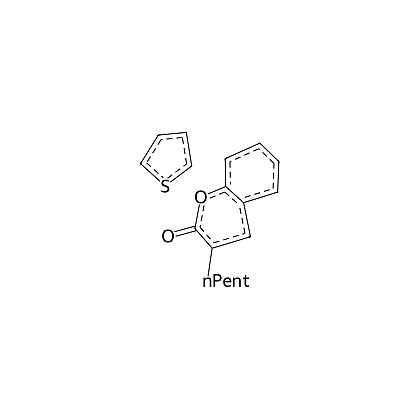 CCCCCc1cc2ccccc2oc1=O.c1ccsc1